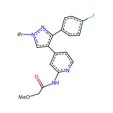 COCC(=O)Nc1cc(-c2cn(C(C)C)nc2-c2ccc(F)cc2)ccn1